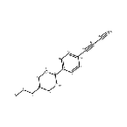 CCCC1COC(c2ccc(C#CC#N)cc2)OC1